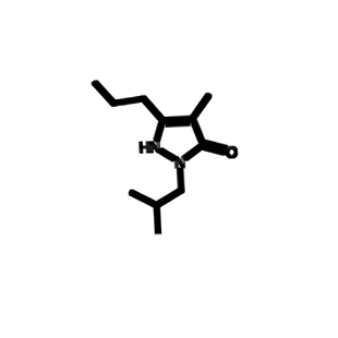 CCCc1[nH]n(CC(C)C)c(=O)c1C